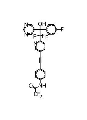 O=C(Nc1ccc(C#Cc2ccc(C(F)(F)C(O)(c3cncnc3)c3ccc(F)cc3F)nc2)cc1)C(F)(F)F